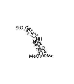 CCOC(=O)N1CCN(c2ccc(Nc3ncnc4c(C(=O)N(Cl)c5cc(OC)cc(OC)c5Cl)csc34)cc2)CC1